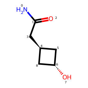 NC(=O)[CH][C@H]1C[C@H](O)C1